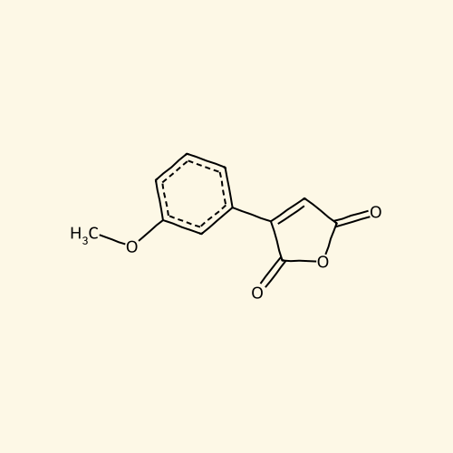 COc1cccc(C2=CC(=O)OC2=O)c1